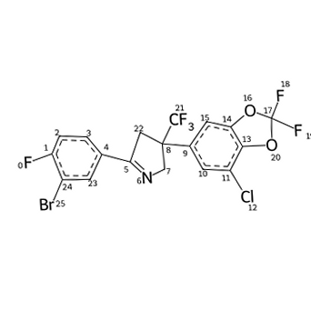 Fc1ccc(C2=NCC(c3cc(Cl)c4c(c3)OC(F)(F)O4)(C(F)(F)F)C2)cc1Br